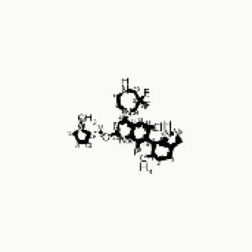 Cc1ccc2cn[nH]c2c1-c1c(Cl)cc2c(N3CCNCC(F)(F)C3)nc(OC[C@@H]3CCCN3C)nc2c1F